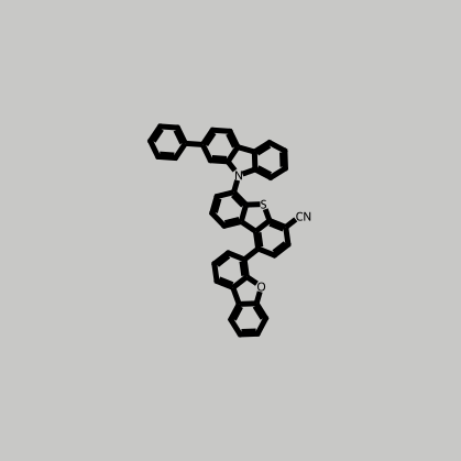 N#Cc1ccc(-c2cccc3c2oc2ccccc23)c2c1sc1c(-n3c4ccccc4c4ccc(-c5ccccc5)cc43)cccc12